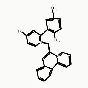 Cc1ccc(C)c(-c2cc(C)cc[n+]2Cc2cc3ccccc3c3cccc[n+]23)c1